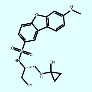 CBc1ccc2c(c1)oc1ccc(S(=O)(=O)N[C@H](CNC3(C#N)CC3)CC(C)C)cc12